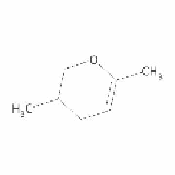 CC1=CCC(C)CO1